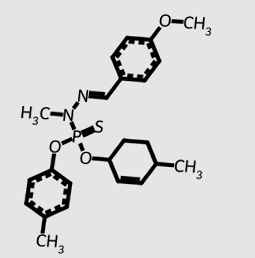 COc1ccc(C=NN(C)P(=S)(Oc2ccc(C)cc2)OC2C=CC(C)CC2)cc1